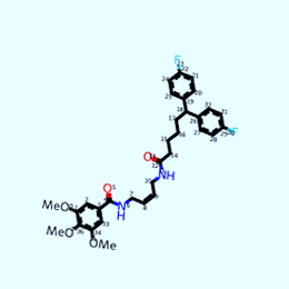 COc1cc(C(=O)NC/C=C\CNC(=O)CCCCC(c2ccc(F)cc2)c2ccc(F)cc2)cc(OC)c1OC